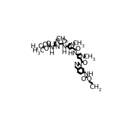 C=CCOC(=O)Nc1ccc2cnn(C(=O)c3cc(NC(=O)c4cc(NC(=O)c5nc(NC(=O)OC(C)(C)C)cn5C)cn4C)cn3C)c2c1